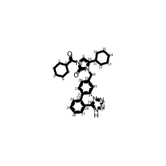 O=C(C1CCCCC1)n1cc(C2CCCCC2)n(Cc2ccc(-c3ccccc3-c3nnn[nH]3)cc2)c1=O